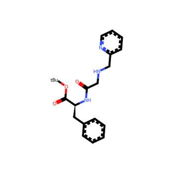 CC(C)(C)OC(=O)[C@H](Cc1ccccc1)NC(=O)CNCc1ccccn1